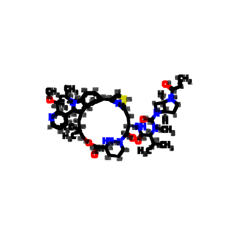 C=CC(=O)N1CC[C@@H]2[C@H]1CN2C(=O)N(C)[C@H](C(=O)N[C@H]1Cc2nc(cs2)-c2ccc3c(c2)c(c(-c2cccnc2[C@H](C)OC)n3CC)CC(C)(C)COC(=O)[C@@H]2CCCN(N2)C1=O)C(C)C